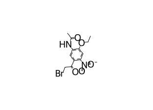 CCOc1cc([N+](=O)[O-])c(C(=O)CBr)cc1NC(C)=O